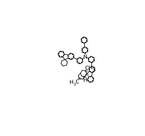 C[C@@H]1CC2C[C@@H](C1)[C@@]1(c3ccccc3-c3ccc(-c4cccc(N(c5ccc(-c6ccccc6)cc5)c5cccc(-c6ccc7c(c6)C6(CCCCC6)c6ccccc6-7)c5)c4)cc31)[C@@H](C)C2